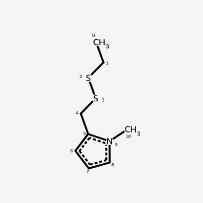 CCSSCc1cccn1C